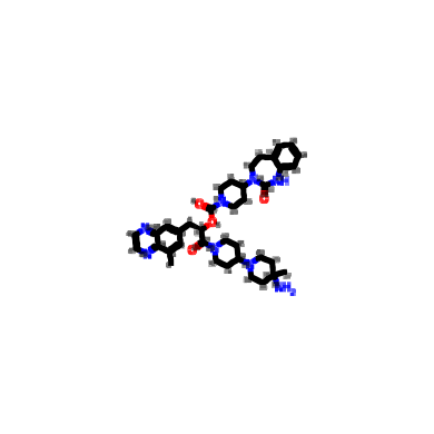 Cc1cc(C[C@@H](OC(=O)N2CCC(N3CCc4ccccc4NC3=O)CC2)C(=O)N2CCC(N3CCC(C)(N)CC3)CC2)cc2nccnc12